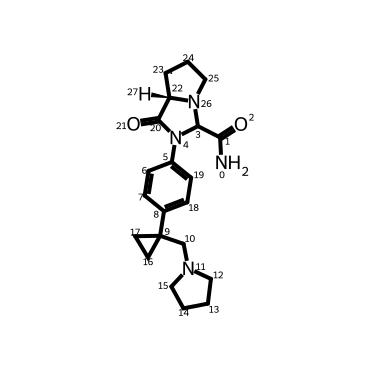 NC(=O)C1N(c2ccc(C3(CN4CCCC4)CC3)cc2)C(=O)[C@@H]2[CH]CCN12